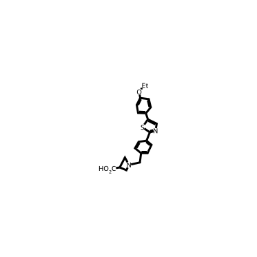 CCOc1ccc(-c2cnc(-c3ccc(CN4CC(C(=O)O)C4)cc3)s2)cc1